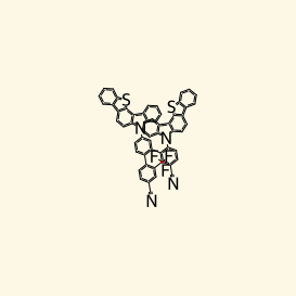 N#Cc1ccc(-n2c3ccccc3c3c4sc5ccccc5c4ccc32)c(-c2cc(-n3c4ccccc4c4c5sc6ccccc6c5ccc43)ccc2-c2ccc(C#N)cc2C(F)(F)F)c1